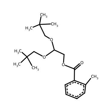 Cc1ccccc1C(=O)OCC(OCC(C)(C)C)OCC(C)(C)C